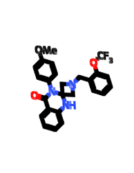 COc1ccc(N2C(=O)c3ccccc3NC23CN(Cc2ccccc2OC(F)(F)F)C3)cc1